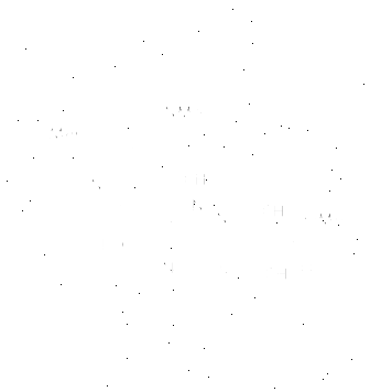 CNSc1cc(-c2c(C)ncsc(C(C)(C)C(=O)OC)nn2C)cnc1OC